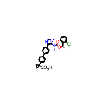 C[C@H](OC(=O)Nc1c(-c2ccc(-c3ccc(C4(C(=O)O)CC4)cc3)cc2)ncn1C)c1ccccc1Cl